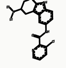 CCN(CC)C1CCc2[nH]c3ccc(NC(=O)c4ncccc4Cl)cc3c2C1